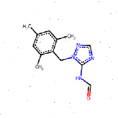 Cc1cc(C)c(Cn2ncnc2NC=O)c(C)c1